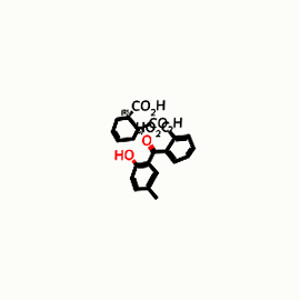 Cc1ccc(O)c(C(=O)c2ccccc2C(=O)O)c1.O=C(O)[C@H]1CC=CC[C@H]1C(=O)O